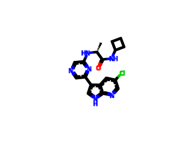 C[C@@H](Nc1cncc(-c2c[nH]c3ncc(Cl)cc23)n1)C(=O)NC1CCC1